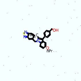 CCCOc1ccc2c(c1)c(-c1ccc(CO)cc1)c(C(=O)O)n2Cc1ccc2nsnc2c1